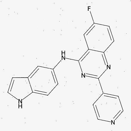 Fc1ccc2nc(-c3ccncc3)nc(Nc3ccc4[nH]ccc4c3)c2c1